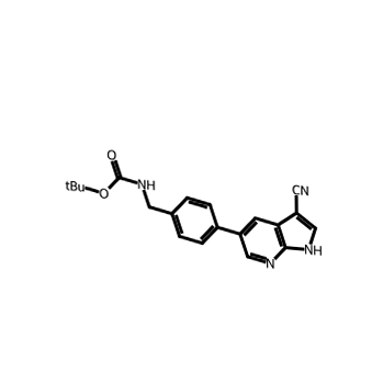 CC(C)(C)OC(=O)NCc1ccc(-c2cnc3[nH]cc(C#N)c3c2)cc1